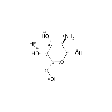 F.N[C@H]1C(O)O[C@H](CO)[C@H](O)[C@@H]1O